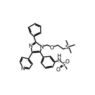 C[Si](C)(C)CCOCn1c(-c2ccccc2)nc(-c2ccncc2)c1-c1cccc(NS(C)(=O)=O)c1